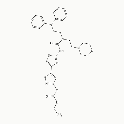 CCOC(=O)Oc1cc(-c2csc(NC(=O)N(CCC(c3ccccc3)c3ccccc3)CCN3CCOCC3)n2)on1